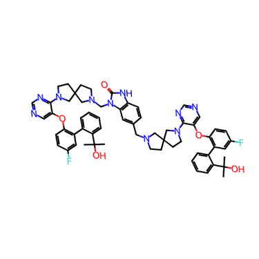 CC(C)(O)c1ccccc1-c1cc(F)ccc1Oc1cncnc1N1CCC2(CCN(Cc3ccc4[nH]c(=O)n(CN5CCC6(CCN(c7ncncc7Oc7ccc(F)cc7-c7ccccc7C(C)(C)O)C6)C5)c4c3)C2)C1